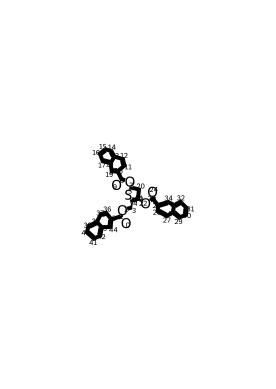 O=C(OC[C@H]1SC(OC(=O)c2ccc3ccccc3c2)C[C@H]1OC(=O)c1ccc2ccccc2c1)c1ccc2ccccc2c1